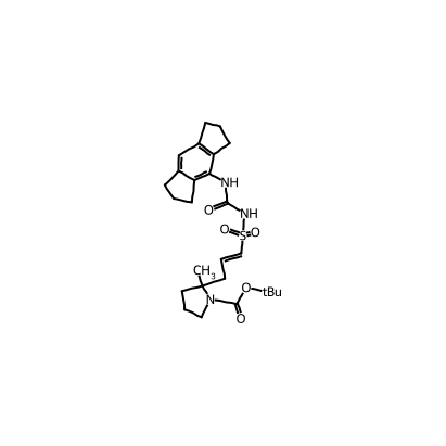 CC(C)(C)OC(=O)N1CCCC1(C)CC=CS(=O)(=O)NC(=O)Nc1c2c(cc3c1CCC3)CCC2